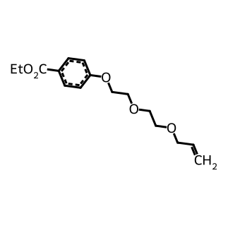 C=CCOCCOCCOc1ccc(C(=O)OCC)cc1